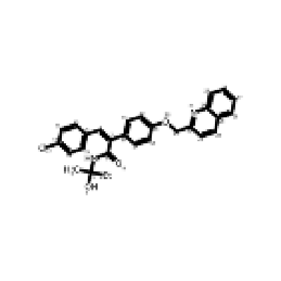 CCC(C)(O)NC(=O)C(=Cc1ccc(Cl)cc1)c1ccc(OCc2ccc3ccccc3n2)cc1